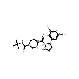 CC(C)(C)OC(=O)N1CCC(C(=O)N2OCC[C@H]2c2cc(F)cc(F)c2)CC1